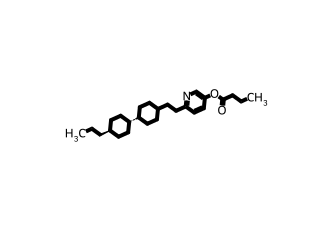 CCCC(=O)Oc1ccc(CCC2CCC([C@H]3CC[C@H](CCC)CC3)CC2)nc1